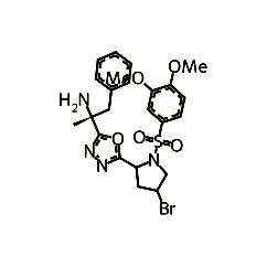 COc1ccc(S(=O)(=O)N2CC(Br)CC2c2nnc([C@](C)(N)Cc3ccccc3)o2)cc1OC